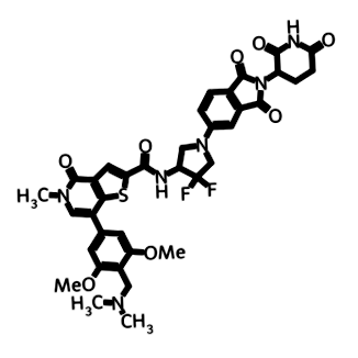 COc1cc(-c2cn(C)c(=O)c3cc(C(=O)NC4CN(c5ccc6c(c5)C(=O)N(C5CCC(=O)NC5=O)C6=O)CC4(F)F)sc23)cc(OC)c1CN(C)C